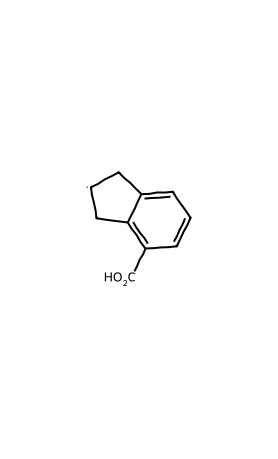 O=C(O)c1cccc2c1C[CH]C2